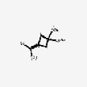 CCC(C(=O)O)=C1CC(OC)(OC)C1